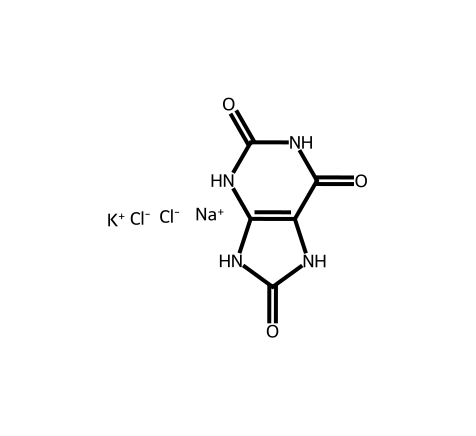 O=c1[nH]c(=O)c2[nH]c(=O)[nH]c2[nH]1.[Cl-].[Cl-].[K+].[Na+]